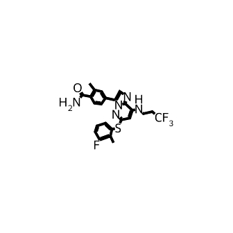 Cc1cc(-c2cnc3c(NCCC(F)(F)F)cc(Sc4cccc(F)c4C)nn23)ccc1C(N)=O